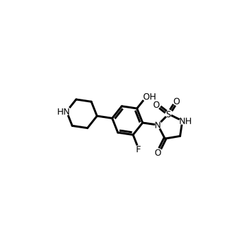 O=C1CNS(=O)(=O)N1c1c(O)cc(C2CCNCC2)cc1F